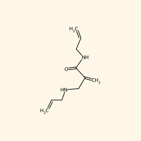 C=CCNCC(=C)C(=O)NCC=C